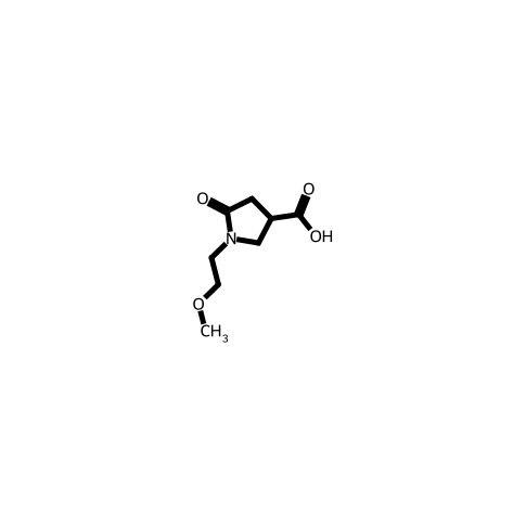 COCCN1CC(C(=O)O)CC1=O